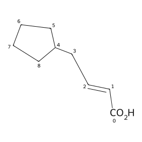 O=C(O)C=CCC1CCCC1